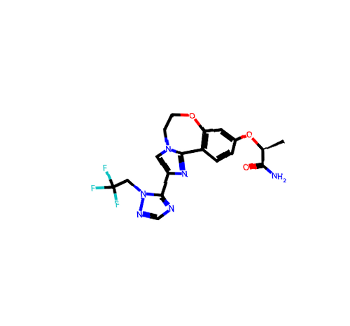 C[C@H](Oc1ccc2c(c1)OCCn1cc(-c3ncnn3CC(F)(F)F)nc1-2)C(N)=O